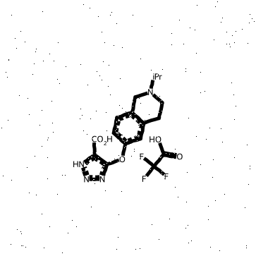 CC(C)N1CCc2cc(Oc3nn[nH]c3C(=O)O)ccc2C1.O=C(O)C(F)(F)F